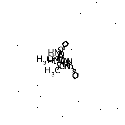 CC(C)C[C@H](NC(=O)[C@H](CC(C)C)NC(=O)OCc1ccccc1)C(=O)Cn1nnc(CCCc2ccccc2)n1